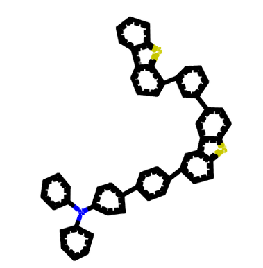 c1ccc(N(c2ccccc2)c2ccc(-c3ccc(-c4ccc5sc6ccc(-c7cccc(-c8cccc9c8sc8ccccc89)c7)cc6c5c4)cc3)cc2)cc1